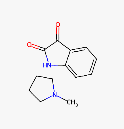 CN1CCCC1.O=C1Nc2ccccc2C1=O